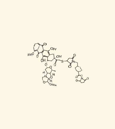 COc1cccc2c1C(=O)c1c(O)c3c(c(O)c1C2=O)C[C@@](O)(C(=O)CSC1CC(=O)N(CC2CCC(C(=O)ON4C(=O)CCC4=O)CC2)C1=O)C[C@@H]3O[C@H]1C[C@H]2[C@H](O[C@@H]3[C@@H](OC)OCCN32)[C@H](C)O1